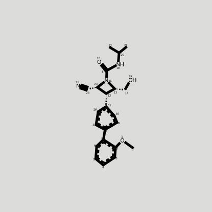 COc1ccccc1-c1ccc([C@H]2[C@@H](CO)N(C(=O)NC(C)C)[C@H]2C#N)cc1